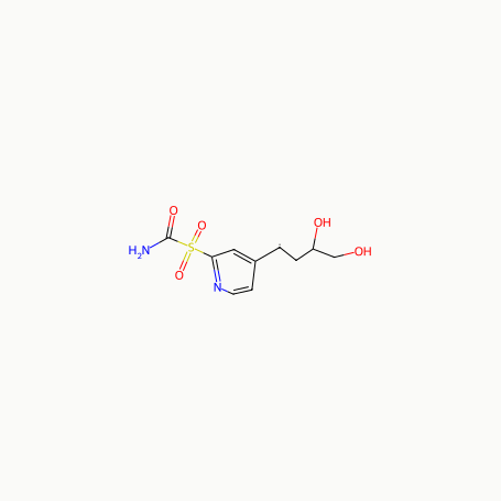 NC(=O)S(=O)(=O)c1cc([CH]CC(O)CO)ccn1